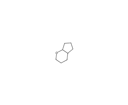 C1COC2CCC[C]2C1